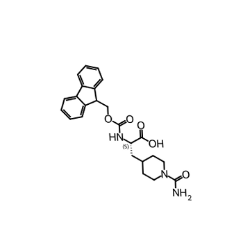 NC(=O)N1CCC(C[C@H](NC(=O)OCC2c3ccccc3-c3ccccc32)C(=O)O)CC1